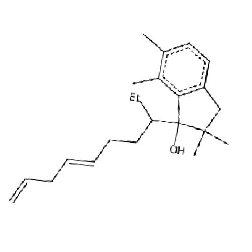 C=CC/C=C/CCC(CC)C1(O)c2c(ccc(C)c2C)CC1(C)C